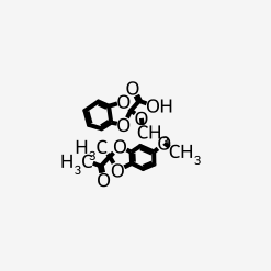 COC1(C(=O)O)Oc2ccccc2O1.COc1ccc2c(c1)OC(C)(C(C)=O)O2